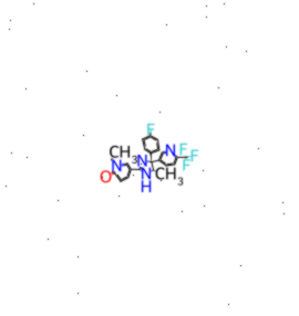 CCn1cc(C2=N[C@](c3ccc(F)cc3)(c3ccc(C(F)(F)F)nc3)[C@H](C)N2)ccc1=O